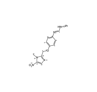 CC(C)N/C=N/c1ccc(OCc2ncc([N+](=O)[O-])n2C)cc1